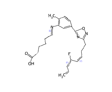 C=C/C=C(F)\C=C/CCc1noc(-c2ccc(C)c(/N=C/CCCCC(=O)O)c2)n1